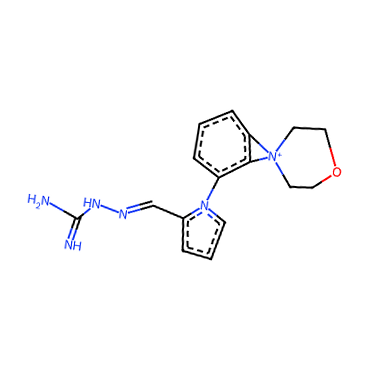 N=C(N)NN=Cc1cccn1-c1cccc2c1[N+]21CCOCC1